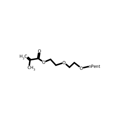 C=C(C)C(=O)OCCOCCOCCCCC